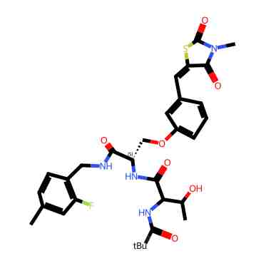 Cc1ccc(CNC(=O)[C@H](COc2cccc(C=C3SC(=O)N(C)C3=O)c2)NC(=O)C(NC(=O)C(C)(C)C)C(C)O)c(F)c1